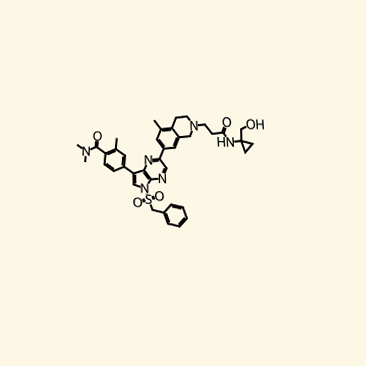 Cc1cc(-c2cn(S(=O)(=O)Cc3ccccc3)c3ncc(-c4cc(C)c5c(c4)CN(CCC(=O)NC4(CO)CC4)CC5)nc23)ccc1C(=O)N(C)C